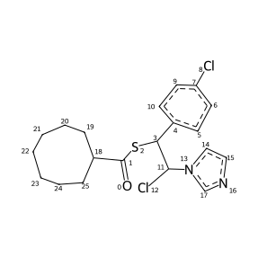 O=C(SC(c1ccc(Cl)cc1)C(Cl)n1ccnc1)C1CCCCCCC1